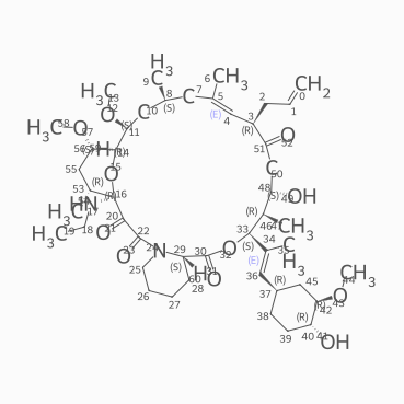 C=CC[C@@H]1/C=C(\C)C[C@H](C)C[C@H](OC)[C@H]2O[C@@](NCC)(C(=O)C(=O)N3CCCC[C@H]3C(=O)O[C@H](/C(C)=C/[C@@H]3CC[C@@H](O)[C@H](OC)C3)[C@H](C)[C@@H](O)CC1=O)[C@H](C)C[C@@H]2OC